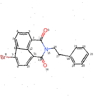 O=C1c2cccc3c(Br)ccc(c23)C(=O)N1CCc1ccccc1